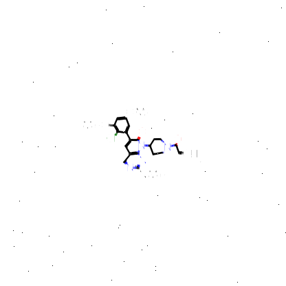 C=CC(=O)N1CCC(n2c(=O)c(-c3cc(OC)cc(OC)c3Cl)cc3cnc(NC)nc32)CC1